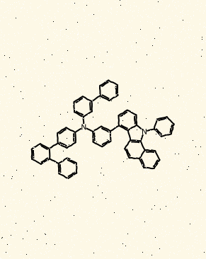 c1ccc(-c2cccc(N(c3ccc(-c4ccccc4-c4ccccc4)cc3)c3cccc(-c4cccc5c4c4ccc6ccccc6c4n5-c4ccccc4)c3)c2)cc1